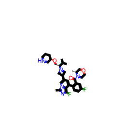 Cc1nc(F)c2c(-c3ccc(F)cc3C(=O)N3CCOC[C@H]3C)cc(C3CN([C@H](CO[C@@H]4CCCNC4)C(C)C)C3)cn12